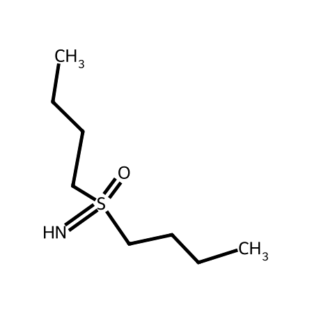 CCCCS(=N)(=O)CCCC